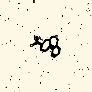 NC(=O)C1CCC2=C3C=CC=CC3COCC2C1